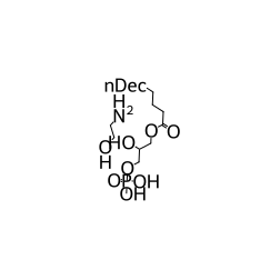 CCCCCCCCCCCCCC(=O)OCC(O)COP(=O)(O)O.NCCO